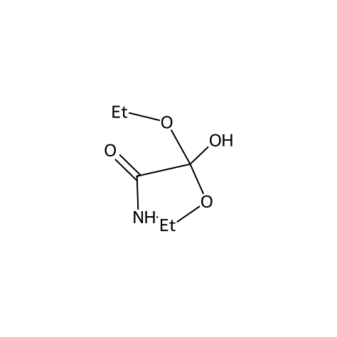 CCOC(O)(OCC)C([NH])=O